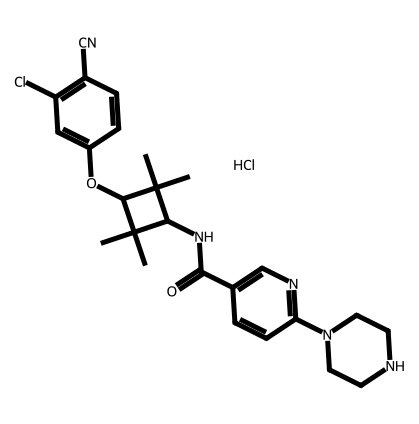 CC1(C)C(NC(=O)c2ccc(N3CCNCC3)nc2)C(C)(C)C1Oc1ccc(C#N)c(Cl)c1.Cl